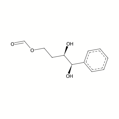 O=COCC[C@@H](O)[C@H](O)c1ccccc1